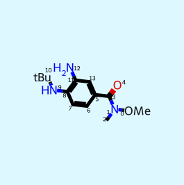 CON(C)C(=O)c1ccc(NC(C)(C)C)c(N)c1